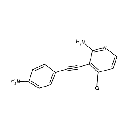 Nc1ccc(C#Cc2c(Cl)ccnc2N)cc1